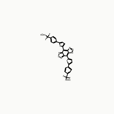 CCCCCCCCCCC(F)(F)c1ccc(-c2ccc(-c3c4c(c(-c5ccc(-c6ccc(C(F)(F)CCCCCCCCCC)cc6)s5)c5nsnc35)N=S=N4)s2)cc1